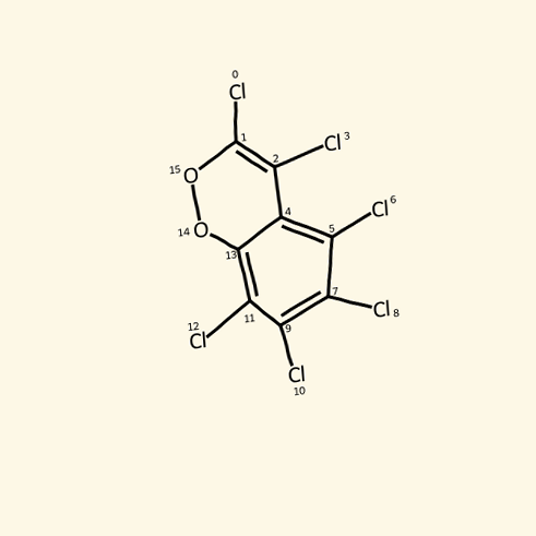 ClC1=C(Cl)c2c(Cl)c(Cl)c(Cl)c(Cl)c2OO1